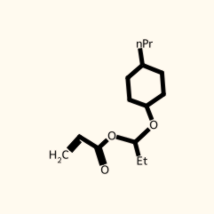 C=CC(=O)OC(CC)OC1CCC(CCC)CC1